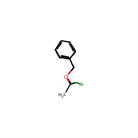 CC(Br)OCc1ccccc1